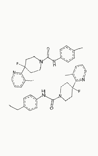 CCc1ccc(NC(=O)N2CCC(F)(c3ncccc3C)CC2)cc1.Cc1ccc(NC(=O)N2CCC(F)(c3ncccc3C)CC2)cc1